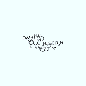 COc1cc(-c2ccc([C@@H]3CCc4ccc(C(C5CC5)[C@H](C)C(=O)O)cc4O3)cc2CN2CCCCC2(C)C)c(F)cn1